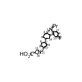 CC(C)N(Cc1ccc(-c2ccc(CN3CC(C(=O)O)C3)cc2)cc1)c1ccc(F)cc1